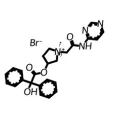 C[N@@+]1(CC(=O)Nc2ccncn2)CCC(OC(=O)C(O)(c2ccccc2)c2ccccc2)C1.[Br-]